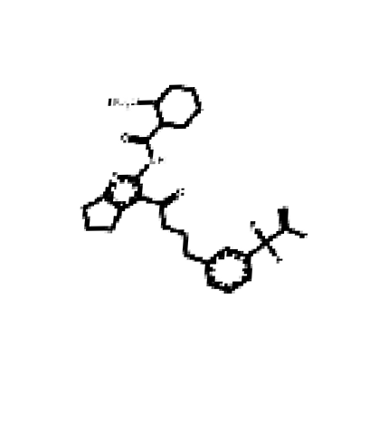 C=C(C)C(F)(F)c1cccc(CCCC(=O)c2c(NC(=O)C3CCCCC3C(=O)O)sc3c2CCC3)c1